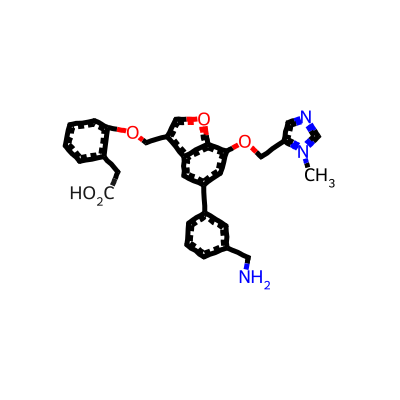 Cn1cncc1COc1cc(-c2cccc(CN)c2)cc2c(COc3ccccc3CC(=O)O)coc12